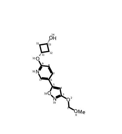 COCOc1cc(-c2ccc(O[C@H]3C[C@@H](O)C3)nc2)on1